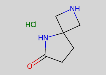 Cl.O=C1CCC2(CNC2)N1